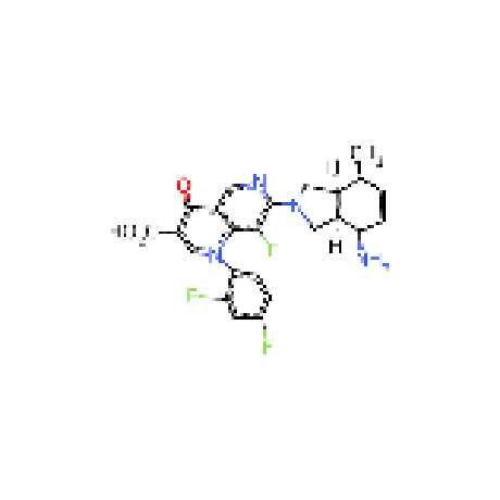 C[C@H]1C=C[C@@H](N)[C@H]2CN(c3ncc4c(=O)c(C(=O)O)cn(-c5ccc(F)cc5F)c4c3F)C[C@H]21